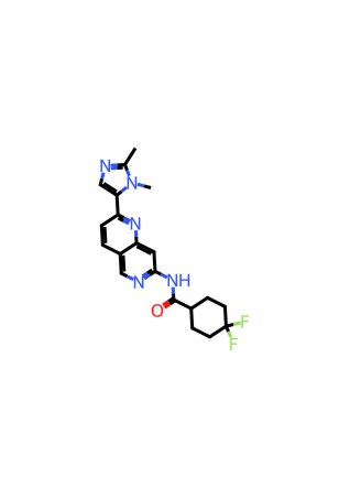 Cc1ncc(-c2ccc3cnc(NC(=O)C4CCC(F)(F)CC4)cc3n2)n1C